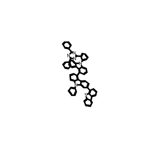 c1ccc(-c2nc(-c3ccccc3)nc(-c3ccccc3-n3c4ccccc4c4c(-c5cccc6c5c5ccc(-c7cccc8c7sc7ccccc78)cc5n6-c5ccccc5)cccc43)n2)cc1